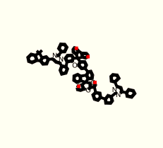 CC1(C)c2ccccc2-c2ccc(-c3cc(-c4ccccc4-c4cccc5c4Oc4cc(-c6cccc7c6-c6ccccc6C76c7ccccc7Oc7c(-c8cccc(-c9cccc(-c%10nc(-c%11ccccc%11)cc(-c%11ccccc%11)n%10)c9)c8)cccc76)ccc4C54c5ccccc5-c5ccccc54)nc(-c4ccccc4)n3)cc21